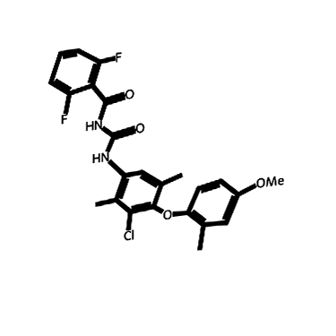 COc1ccc(Oc2c(C)cc(NC(=O)NC(=O)c3c(F)cccc3F)c(C)c2Cl)c(C)c1